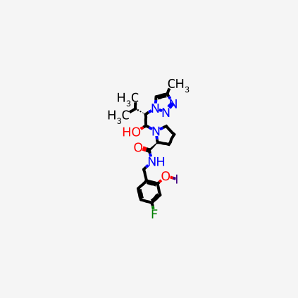 Cc1cn([C@@H](C(C)C)C(O)N2CCC[C@H]2C(=O)NCc2ccc(F)cc2OI)nn1